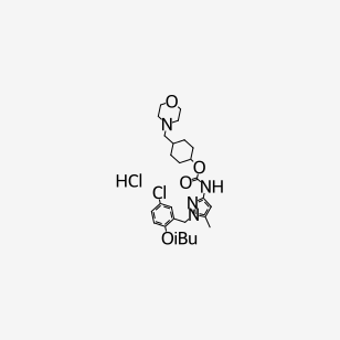 Cc1cc(NC(=O)OC2CCC(CN3CCOCC3)CC2)nn1Cc1cc(Cl)ccc1OCC(C)C.Cl